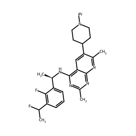 Cc1nc(N[C@H](C)c2cccc(C(C)F)c2F)c2cc(C3CCN(C(C)C)CC3)c(C)nc2n1